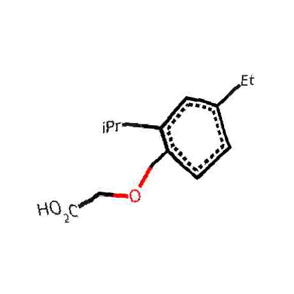 CCc1ccc(OCC(=O)O)c(C(C)C)c1